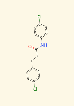 O=C(CCc1ccc(Cl)cc1)Nc1ccc(Cl)cc1